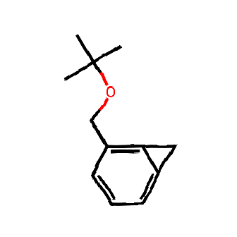 CC(C)(C)OCc1cccc2c1C2